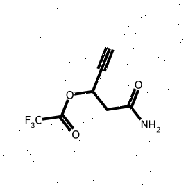 C#CC(CC(N)=O)OC(=O)C(F)(F)F